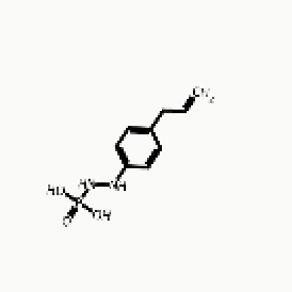 C=CCc1ccc(NNP(=O)(O)O)cc1